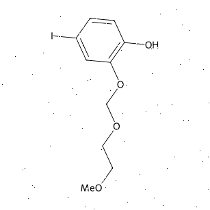 COCCOCOc1cc(I)ccc1O